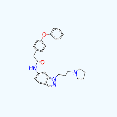 O=C(Cc1ccc(Oc2ccccc2)cc1)Nc1ccc2cnn(CCCN3CCCC3)c2c1